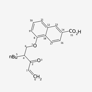 C=CC(=O)C(CCCC)COc1cccc2cc(C(=O)O)ccc12